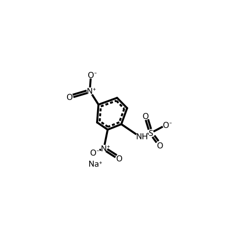 O=[N+]([O-])c1ccc(NS(=O)(=O)[O-])c([N+](=O)[O-])c1.[Na+]